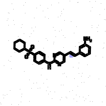 Nc1cccc(/C=C/c2cnc(Nc3ccc(S(=O)(=O)C4CCCCC4)cc3)nc2)c1